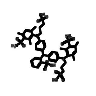 Cc1cc(C)c(S(N)(=O)=O)c(C)c1N(CCCS(=O)(=O)O)c1ccc(C(c2ccc(N(CCCS(=O)(=O)O)c3c(C)cc(C)c(S(N)(=O)=O)c3C)cc2)c2ccccc2S(=O)(=O)O)cc1